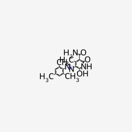 Cc1cc(C)c(/N=N/c2c(O)[nH]c(=O)c(C(N)=O)c2C)c(C)c1